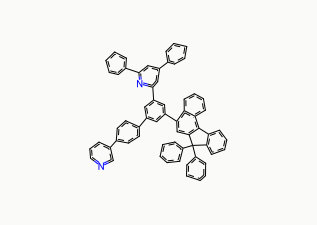 c1ccc(-c2cc(-c3ccccc3)nc(-c3cc(-c4ccc(-c5cccnc5)cc4)cc(-c4cc5c(c6ccccc46)-c4ccccc4C5(c4ccccc4)c4ccccc4)c3)c2)cc1